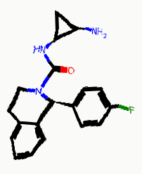 N[C@@H]1C[C@@H]1NC(=O)N1CCc2ccccc2[C@@H]1c1ccc(F)cc1